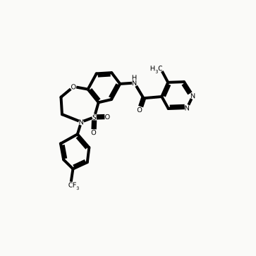 Cc1cnncc1C(=O)Nc1ccc2c(c1)S(=O)(=O)N(c1ccc(C(F)(F)F)cc1)CCO2